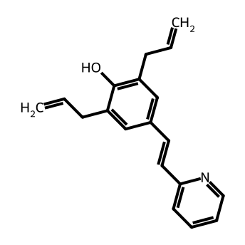 C=CCc1cc(C=Cc2ccccn2)cc(CC=C)c1O